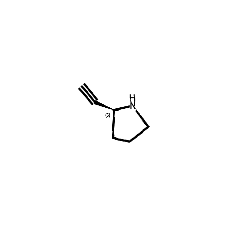 C#C[C@@H]1CCCN1